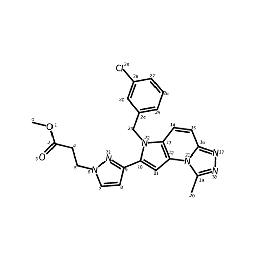 COC(=O)CCn1ccc(-c2cc3c(ccc4nnc(C)n43)n2Cc2cccc(Cl)c2)n1